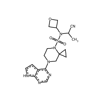 CC(C#N)N(C1COC1)S(=O)(=O)N1CCN(c2ncnc3[nH]ccc23)CC12CC2